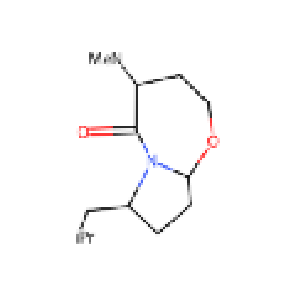 CNC1CCOC2CCC(CC(C)C)N2C1=O